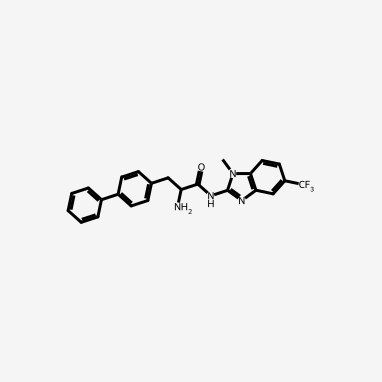 Cn1c(NC(=O)C(N)Cc2ccc(-c3ccccc3)cc2)nc2cc(C(F)(F)F)ccc21